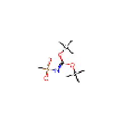 C[Si](C)(C)OC(=NS(C)(=O)=O)O[Si](C)(C)C